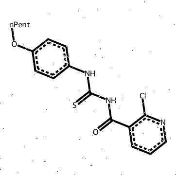 CCCCCOc1ccc(NC(=S)NC(=O)c2cccnc2Cl)cc1